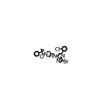 O=C(N1CCC(CNc2cc(-c3ccccc3Cl)nc3c(Br)cnn23)CC1)C1(c2ccccc2)CC1